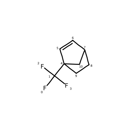 FC(F)(F)C12C=CC(CC1)C2